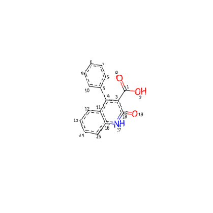 O=C(O)c1c(-c2ccccc2)c2ccccc2[nH]c1=O